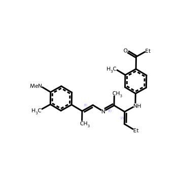 CC/C=C(Nc1ccc(C(=O)CC)c(C)c1)/C(C)=N/C=C(\C)c1ccc(NC)c(C)c1